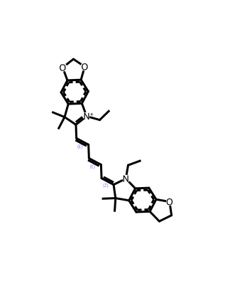 CCN1\C(=C/C=C/C=C/C2=[N+](CC)c3cc4c(cc3C2(C)C)OCO4)C(C)(C)c2cc3c(cc21)OCC3